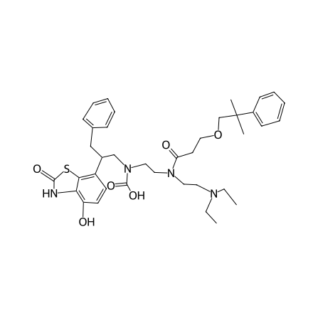 CCN(CC)CCN(CCN(CC(Cc1ccccc1)c1ccc(O)c2[nH]c(=O)sc12)C(=O)O)C(=O)CCOCC(C)(C)c1ccccc1